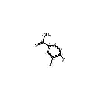 NC(=S)c1ccc(F)c(Cl)c1